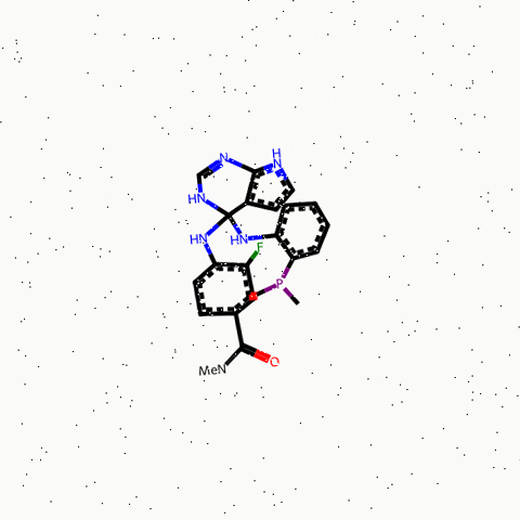 CNC(=O)c1ccc(NC2(Nc3ccccc3P(C)C)NC=Nc3[nH]ccc32)c(F)c1